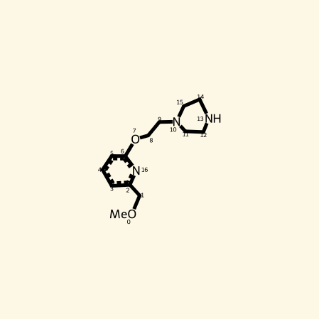 COCc1cccc(OCCN2CCNCC2)n1